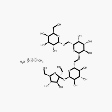 O.O.O.O.O.OC[C@H]1O[C@H](OC[C@H]2O[C@H](OC[C@H]3O[C@H](O[C@]4(CO)O[C@H](CO)[C@@H](O)[C@@H]4O)[C@H](O)[C@@H](O)[C@@H]3O)[C@H](O)[C@@H](O)[C@H]2O)[C@H](O)[C@@H](O)[C@H]1O